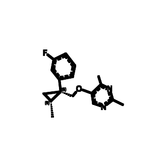 Cc1ncc(OC[C@@]2(c3cccc(F)c3)C[C@H]2C)c(C)n1